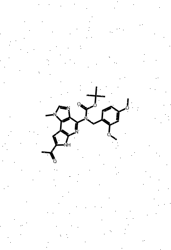 COc1ccc(CN(C(=O)OC(C)(C)C)c2nc3[nH]c(C(C)=O)cc3c3c2ncn3C)c(OC)c1